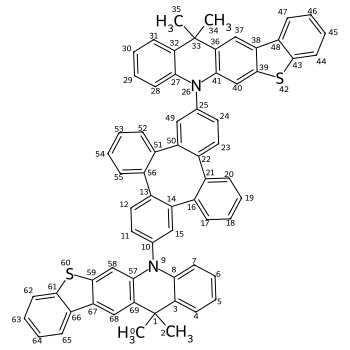 CC1(C)c2ccccc2N(c2ccc3c(c2)-c2ccccc2-c2ccc(N4c5ccccc5C(C)(C)c5cc6c(cc54)sc4ccccc46)cc2-c2ccccc2-3)c2cc3sc4ccccc4c3cc21